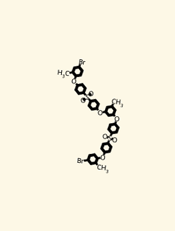 Cc1cc(Oc2ccc(S(=O)(=O)c3ccc(Oc4ccc(Br)cc4C)cc3)cc2)cc(Oc2ccc(S(=O)(=O)c3ccc(Oc4ccc(Br)cc4C)cc3)cc2)c1